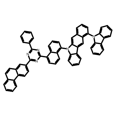 c1ccc(-c2nc(-c3ccc4c(ccc5ccccc54)c3)nc(-c3cccc4c(-n5c6ccccc6c6cc7c(-n8c9ccccc9c9ccccc98)cccc7cc65)cccc34)n2)cc1